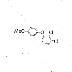 COc1c[c]c(Oc2cccc(Cl)c2Cl)cc1